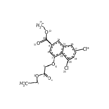 CCOC(=O)COc1cc(C(=O)OC)cc2cc(Cl)cc(Cl)c12